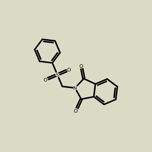 O=C1c2ccccc2C(=O)N1CS(=O)(=O)c1ccccc1